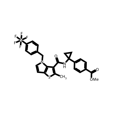 COC(=O)c1ccc(C2(NC(=O)c3c(C)sc4ccn(Cc5ccc(S(F)(F)(F)(F)F)cc5)c34)CC2)cc1